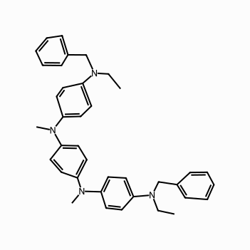 CCN(Cc1ccccc1)c1ccc(N(C)c2ccc(N(C)c3ccc(N(CC)Cc4ccccc4)cc3)cc2)cc1